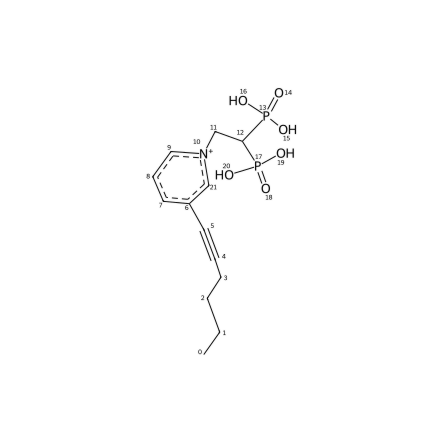 CCCCC#Cc1ccc[n+](CC(P(=O)(O)O)P(=O)(O)O)c1